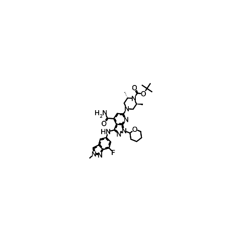 C[C@H]1CN(c2cc(C(N)=O)c3c(Nc4cc(F)c5nn(C)cc5c4)nn(C4CCCCO4)c3n2)C[C@H](C)N1C(=O)OC(C)(C)C